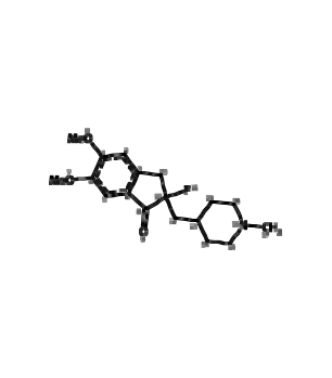 COc1cc2c(cc1OC)C(=O)C(F)(CC1CCN(C)CC1)C2